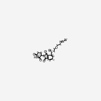 [N-]=[N+]=NCCOCC[S+]([O-])c1cccc2c1C(=O)N(C1CCC(=O)NC1=O)C2=O